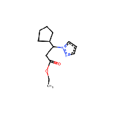 CCOC(=O)CC(C1CCCC1)n1cccn1